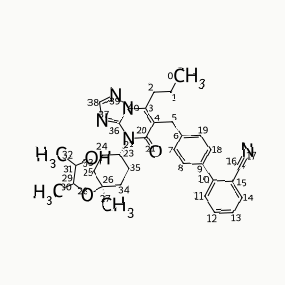 CCCc1c(Cc2ccc(-c3ccccc3C#N)cc2)c(=O)n([C@H]2CC[C@](C)(OC(C)C(C)O)CC2)c2ncnn12